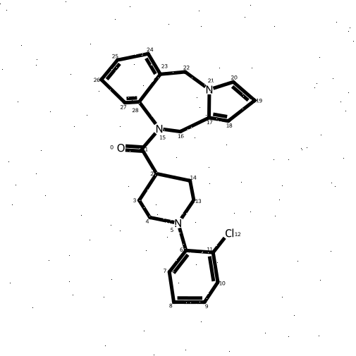 O=C(C1CCN(c2ccccc2Cl)CC1)N1Cc2cccn2Cc2ccccc21